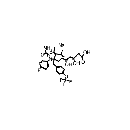 CC1=C(C(C)C)C(CC[C@@H](O)C[C@@H](O)CC(=O)O)(Cc2ccc(OC(F)(F)F)cc2)N(c2ccc(F)cc2)N1C(N)=O.[Na]